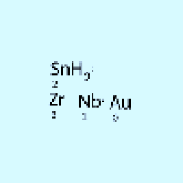 [Au].[Nb].[SnH2].[Zr]